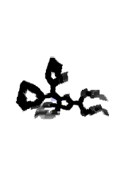 COC(OC)C1=N/C(=C(/c2ccccc2)c2ccc[nH]2)C(C)(C)C1